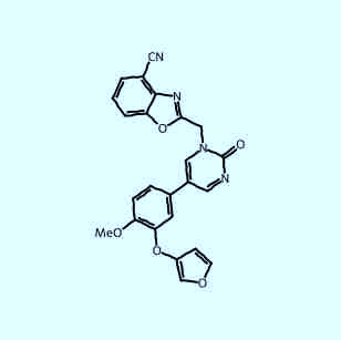 COc1ccc(-c2cnc(=O)n(Cc3nc4c(C#N)cccc4o3)c2)cc1Oc1ccoc1